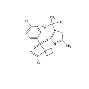 CC(C)(C)c1cnc(N)s1.O=C(O)C1(S(=O)(=O)c2ccc(Cl)cc2)CCC1